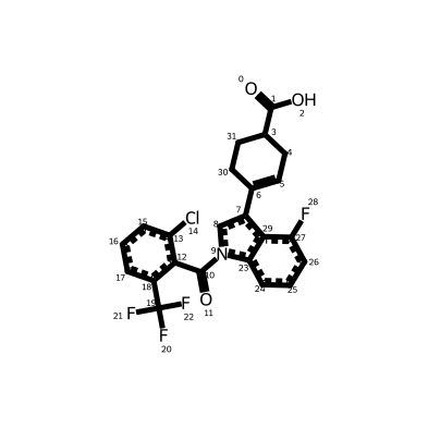 O=C(O)C1CC=C(c2cn(C(=O)c3c(Cl)cccc3C(F)(F)F)c3cccc(F)c23)CC1